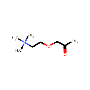 CC(=O)COCC[N+](C)(C)C